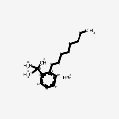 Br.CCCCCCCCc1ccccc1C(C)(C)N